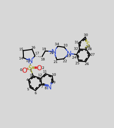 O=S(=O)(c1cccc2ncccc12)N1CCC[C@@H]1CCN1CCN(c2cccc3sccc23)CC1